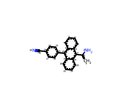 C=C(N)c1c2ccccc2c(-c2ccc(C#N)cc2)c2ccccc12